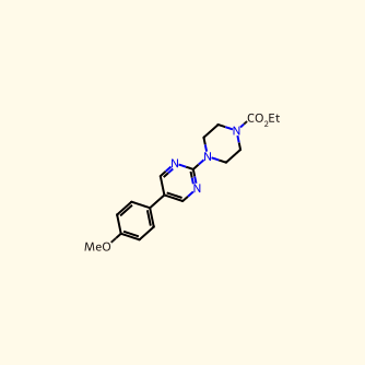 CCOC(=O)N1CCN(c2ncc(-c3ccc(OC)cc3)cn2)CC1